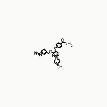 CN1CCN(c2ncc(Sc3ccc(C(N)=O)cc3)c(OCc3cccc(N=[N+]=[N-])c3)n2)CC1